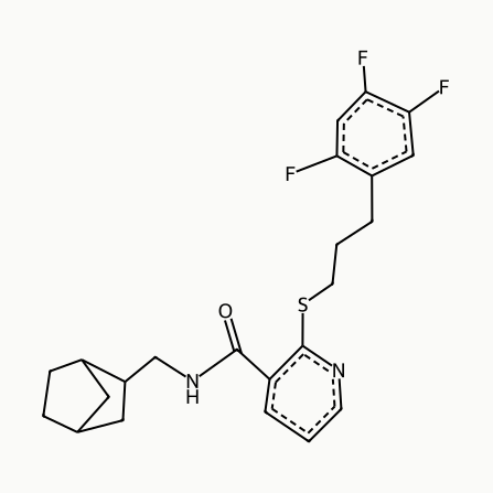 O=C(NCC1CC2CCC1C2)c1cccnc1SCCCc1cc(F)c(F)cc1F